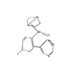 O=C(O)N(c1ccc(F)cc1-c1cncnc1)C1CN2CCC1CC2